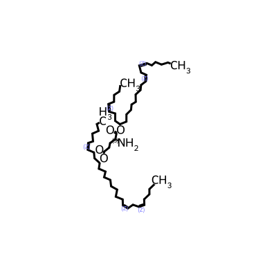 CCCCC/C=C\C/C=C\CCCCCCCCC(CC/C=C\CCCCC)OC(=O)CC[C@H](N)C(=O)OC(CC/C=C\CCCCC)CCCCCCCC/C=C\C/C=C\CCCCC